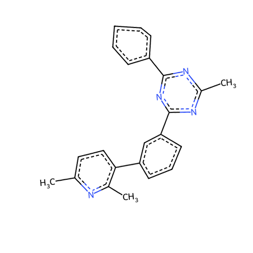 Cc1ccc(-c2cccc(-c3nc(C)nc(-c4ccccc4)n3)c2)c(C)n1